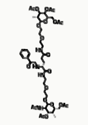 CC(=O)N[C@H]1C(OCCOCCNC(=O)[C@@H](CCC(=O)NCCOCCOC2O[C@H](COC(C)=O)[C@H](OC(C)=O)[C@H](OC(C)=O)[C@H]2C)NCC(=O)c2ccccc2)O[C@H](COC(C)=O)[C@H](C)[C@@H]1OC(C)=O